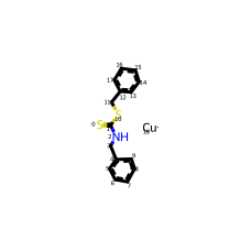 S=C(NCc1ccccc1)SCc1ccccc1.[Cu]